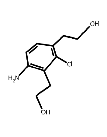 Nc1ccc(CCO)c(Cl)c1CCO